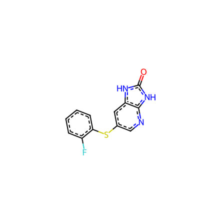 O=c1[nH]c2cc(Sc3ccccc3F)cnc2[nH]1